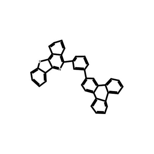 c1cc(-c2ccc3c4ccccc4c4ccccc4c3c2)cc(-c2nc3c4ccccc4sc3c3ccccc23)c1